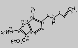 C=CCNCc1ccc2c(C(=O)OCC)c(NC(C)=O)sc2c1Cl